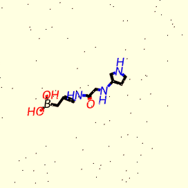 O=C(CNC1CCNC1)NC=CCB(O)O